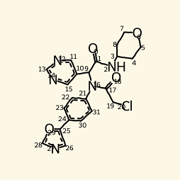 O=C(NC1CCOCC1)C(c1cncnc1)N(C(=O)CCl)c1ccc(-c2cnco2)cc1